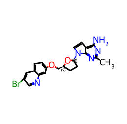 Cc1nc(N)c2ccn([C@H]3CC[C@@H](COc4ccc5cc(Br)cnc5c4)O3)c2n1